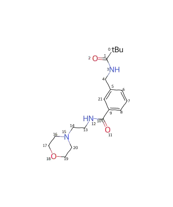 CC(C)(C)C(=O)NCc1cccc(C(=O)NCCN2CCOCC2)c1